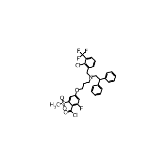 CS(=O)(=O)c1cc(OCCCN(Cc2cccc(C(F)(F)F)c2Cl)CC(c2ccccc2)c2ccccc2)cc(F)c1C(=O)Cl